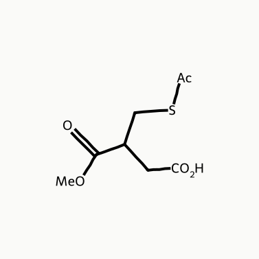 COC(=O)C(CSC(C)=O)CC(=O)O